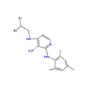 CCC(CC)CNc1ccnc(Nc2c(C)cc(C)cc2C)c1N